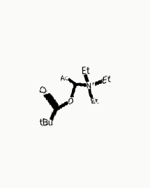 CC[N+](CC)(CC)C(OC(=O)C(C)(C)C)C(C)=O